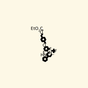 CCOC(=O)COCCc1ccc(COc2cc(F)c([C@@H]3c4[nH]c5ccccc5c4C[C@@H](C)N3CC(C)(C)F)c(F)c2)cc1